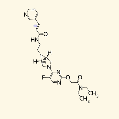 CCN(CC)C(=O)COc1ncc(F)c(N2C[C@@H]3C(CCNC(=O)/C=C/c4cccnc4)[C@@H]3C2)n1